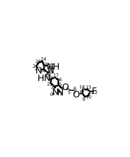 Cn1nc(OCCOc2ccc(F)cc2)c2ccc(Nc3n[nH]c4cccnc34)cc21